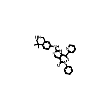 CC1(C)CNCc2cc(Nc3ncc4c(=O)n(-c5ccccc5)nc(-c5ccccn5)c4n3)ccc21